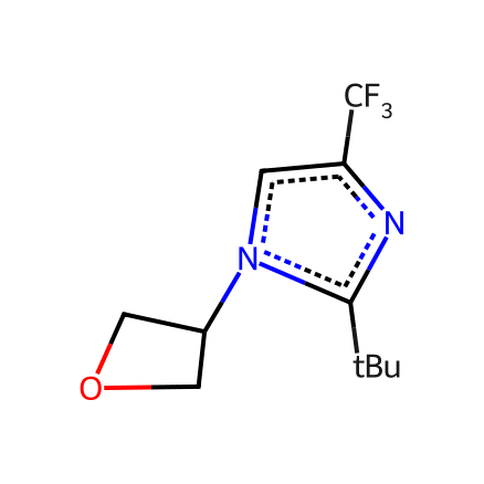 CC(C)(C)c1nc(C(F)(F)F)cn1C1COC1